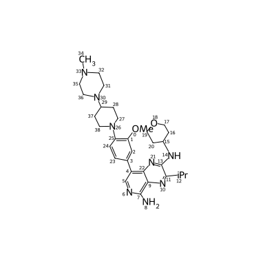 COc1cc(-c2cnc(N)c3nc(C(C)C)c(NC4CCOCC4)nc23)ccc1N1CCC(N2CCN(C)CC2)CC1